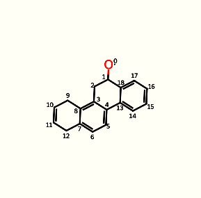 [O]C1Cc2c(ccc3c2CC=CC3)-c2ccccc21